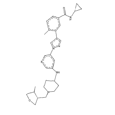 Cc1ccc(C(=O)NC2CC2)cc1-c1cnn(-c2cncc(NC3CCN(CC4COCC4C)CC3)c2)c1